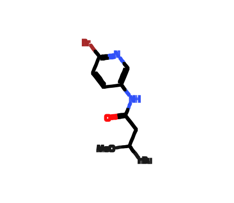 CCCCC(CC(=O)Nc1ccc(Br)nc1)OC